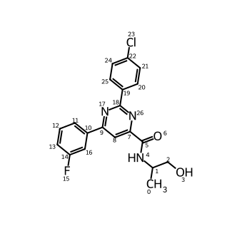 CC(CO)NC(=O)c1cc(-c2cccc(F)c2)nc(-c2ccc(Cl)cc2)n1